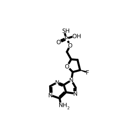 Nc1ncnc2c1ncn2C1OC(COP(=O)(O)S)C[C@H]1F